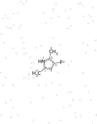 Cc1cc(F)c(C)[nH]1